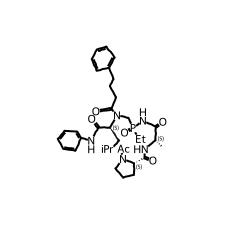 CCP(=O)(CN(C(=O)CCCc1ccccc1)[C@@H](CC(C)C)C(=O)Nc1ccccc1)NC(=O)[C@H](C)NC(=O)[C@@H]1CCCN1C(C)=O